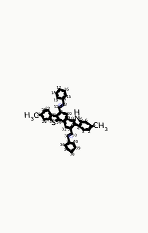 Cc1ccc2c(c1)[nH]c1c3cc(/C=C/c4ccccc4)c4c5ccc(C)cc5sc4c3cc(/C=C/c3ccccc3)c21